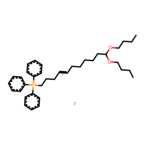 CCCCOC(CCCCC/C=C/CCC[P+](c1ccccc1)(c1ccccc1)c1ccccc1)OCCCC.[I-]